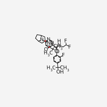 CC(C)(Oc1ccc(C(C)(C)O)cc1F)C(=O)NC1CC2CCC(C1)N2c1ccc(C(=O)NCC(F)F)cn1